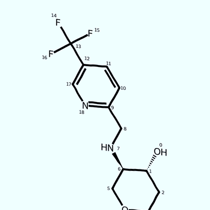 O[C@@H]1CCOC[C@H]1NCc1ccc(C(F)(F)F)cn1